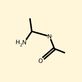 CC(=O)[N]C(C)N